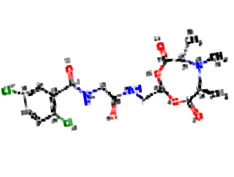 C[C@H]1C(=O)OB(CNC(=O)CNC(=O)c2cc(Cl)ccc2Cl)OC(=O)[C@H](C)N1C